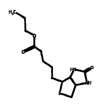 CCCOC(=O)CCCCC1SCC2NC(=O)NC21